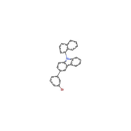 Brc1cccc(-c2ccc3c(c2)c2ccccc2n3-c2cccc3ccccc23)c1